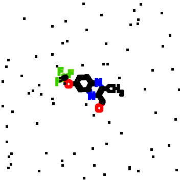 Cc1nc2ccc(OC(F)(F)F)cc2nc1C=O